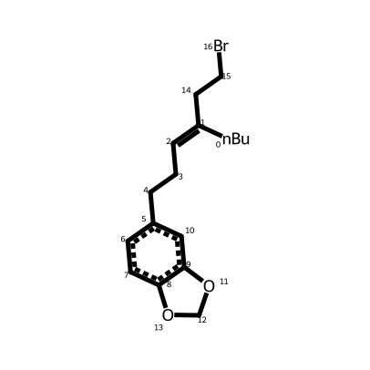 CCCC/C(=C\CCc1ccc2c(c1)OCO2)CCBr